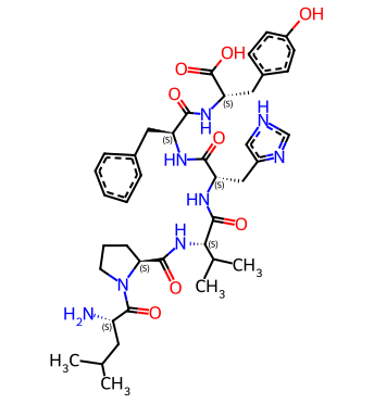 CC(C)C[C@H](N)C(=O)N1CCC[C@H]1C(=O)N[C@H](C(=O)N[C@@H](Cc1c[nH]cn1)C(=O)N[C@@H](Cc1ccccc1)C(=O)N[C@@H](Cc1ccc(O)cc1)C(=O)O)C(C)C